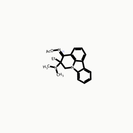 CCC1(N(C)C)Cn2c3ccccc3c3cccc(c32)/C1=N/OC(C)=O